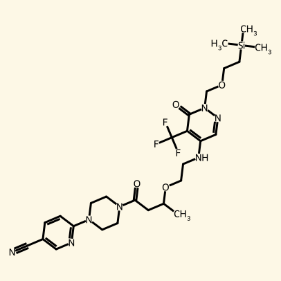 CC(CC(=O)N1CCN(c2ccc(C#N)cn2)CC1)OCCNc1cnn(COCC[Si](C)(C)C)c(=O)c1C(F)(F)F